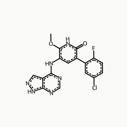 COc1[nH]c(=O)c(-c2cc(Cl)ccc2F)cc1Nc1ncnc2[nH]ncc12